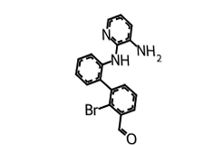 Nc1cccnc1Nc1ccccc1-c1cccc(C=O)c1Br